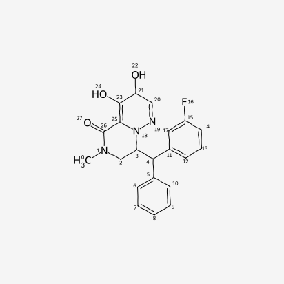 CN1CC(C(c2ccccc2)c2cccc(F)c2)N2N=CC(O)C(O)=C2C1=O